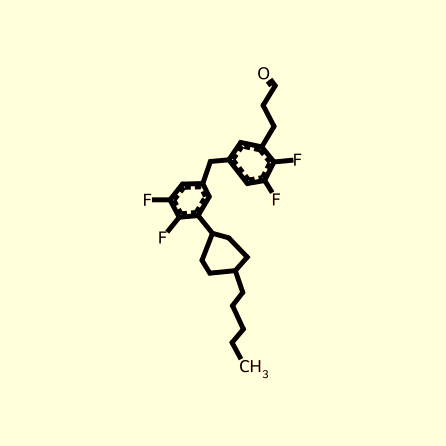 CCCCCC1CCC(c2cc(Cc3cc(F)c(F)c(CCC=O)c3)cc(F)c2F)CC1